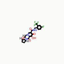 O=C(NCc1ccc(F)cc1C(F)(F)F)c1cn2c(c(O)c1=O)C(=O)N1[C@H]3CC[C@H](C3)O[C@@H]1C2